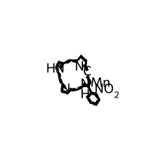 O=[N+]([O-])c1ccccc1-c1[c]([Mn])c2cc3nc(cc4ccc(cc5nc(cc1[nH]2)C=C5)[nH]4)C=C3